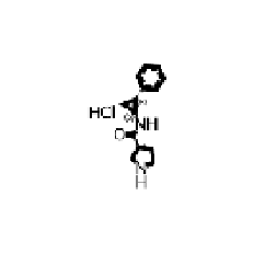 Cl.O=C(N[C@H]1C[C@@H]1c1ccccc1)[C@H]1CCNC1